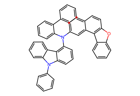 c1ccc(-c2ccccc2N(c2ccc3ccc4oc5ccccc5c4c3c2)c2cccc3c2c2ccccc2n3-c2ccccc2)cc1